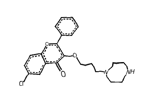 O=c1c(OCCCN2CCNCC2)c(-c2ccccc2)oc2ccc(Cl)cc12